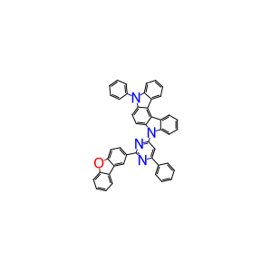 c1ccc(-c2cc(-n3c4ccccc4c4c5c6ccccc6n(-c6ccccc6)c5ccc43)nc(-c3ccc4oc5ccccc5c4c3)n2)cc1